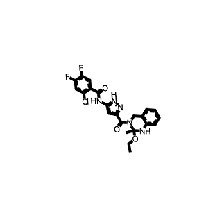 CCOC1(C)Nc2ccccc2CN1C(=O)c1cc(NC(=O)c2cc(F)c(F)cc2Cl)[nH]n1